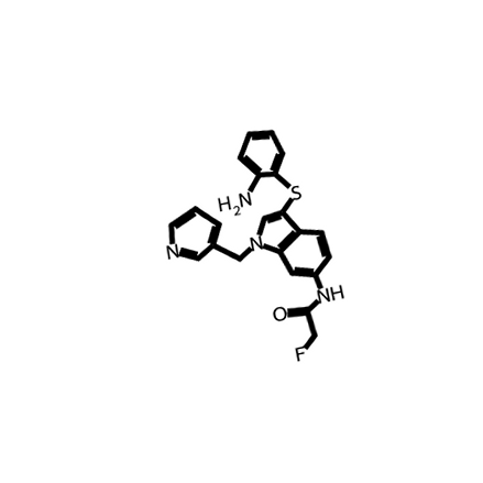 Nc1ccccc1Sc1cn(Cc2cccnc2)c2cc(NC(=O)CF)ccc12